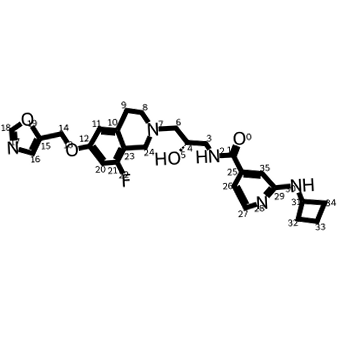 O=C(NC[C@H](O)CN1CCc2cc(OCc3cnco3)cc(F)c2C1)c1ccnc(NC2CCC2)c1